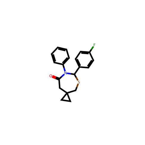 O=C1CC2(CC2)CSC(c2ccc(F)cc2)N1c1ccccc1